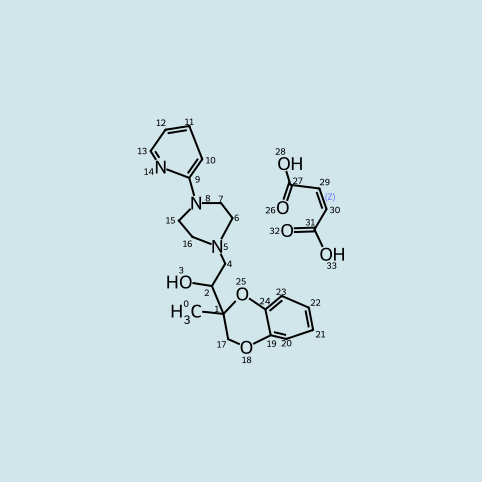 CC1(C(O)CN2CCN(c3ccccn3)CC2)COc2ccccc2O1.O=C(O)/C=C\C(=O)O